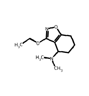 CCOc1noc2c1C(N(C)C)CCC2